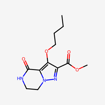 CCCCOc1c(C(=O)OC)nn2c1C(=O)NCC2